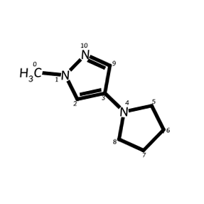 Cn1cc(N2C[CH]CC2)cn1